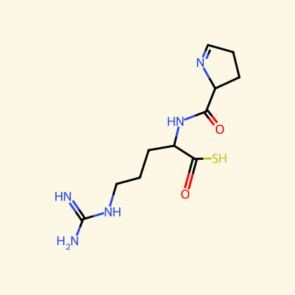 N=C(N)NCCCC(NC(=O)C1CCC=N1)C(=O)S